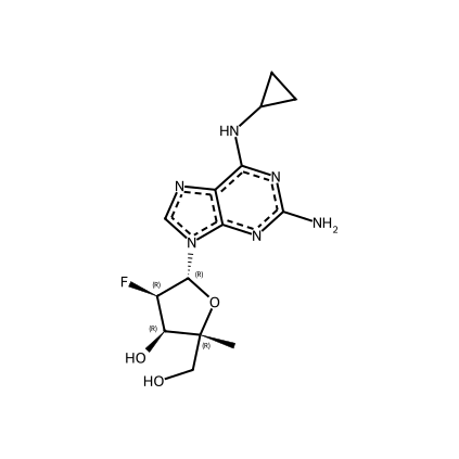 C[C@]1(CO)O[C@@H](n2cnc3c(NC4CC4)nc(N)nc32)[C@H](F)[C@@H]1O